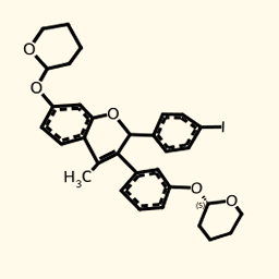 CC1=C(c2cccc(O[C@H]3CCCCO3)c2)C(c2ccc(I)cc2)Oc2cc(OC3CCCCO3)ccc21